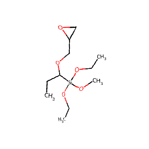 CCO[Si](OC)(OCC)C(CC)OCC1CO1